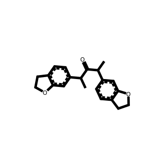 CC(C(=O)C(C)c1ccc2c(c1)OCC2)c1ccc2c(c1)OCC2